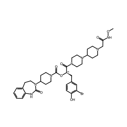 CONC(=O)CN1CCC(N2CCN(C(=O)[C@@H](Cc3ccc(O)c(Br)c3)OC(=O)N3CCC(N4CCc5ccccc5NC4=O)CC3)CC2)CC1